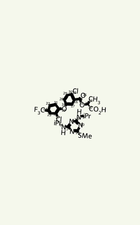 CSc1nc(NC(C)C)nc(NC(C)C)n1.C[C@H](OC(=O)c1cc(Oc2ccc(C(F)(F)F)cc2Cl)ccc1Cl)C(=O)O